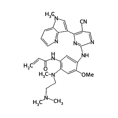 C=CC(=O)Nc1cc(Nc2ncc(C#N)c(-c3cn(C)c4cccnc34)n2)c(OC)cc1N(C)CCN(C)C